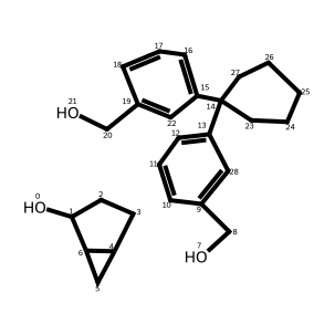 OC1CCC2CC12.OCc1cccc(C2(c3cccc(CO)c3)CCCCC2)c1